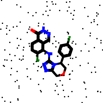 O=c1[nH]ncc2c(Nc3nnc4n3C(c3ccc(F)cc3)COC4)c(Br)ccc12